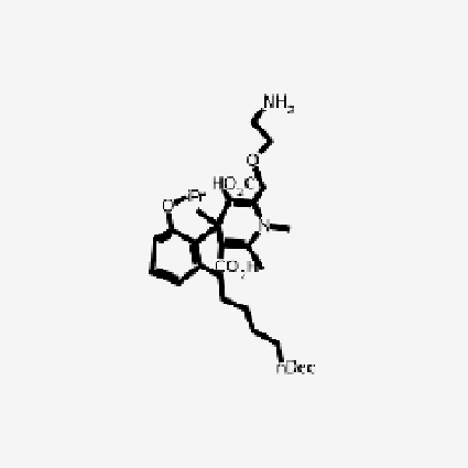 CCCCCCCCCCCCCCCc1cccc(OC(C)C)c1C1(C)C(C(=O)O)=C(C)N(C)C(COCCN)=C1C(=O)O